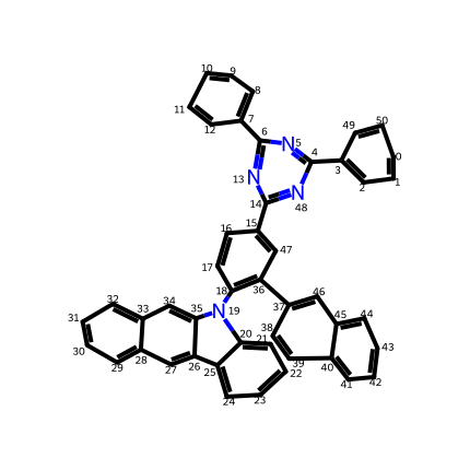 c1ccc(-c2nc(-c3ccccc3)nc(-c3ccc(-n4c5ccccc5c5cc6ccccc6cc54)c(-c4ccc5ccccc5c4)c3)n2)cc1